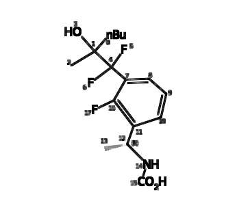 CCCCC(C)(O)C(F)(F)c1cccc([C@@H](C)NC(=O)O)c1F